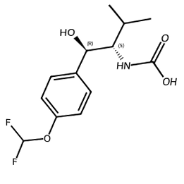 CC(C)[C@H](NC(=O)O)[C@H](O)c1ccc(OC(F)F)cc1